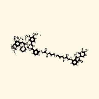 CC[C@H](C(=O)N1CCCC[C@H]1C(=O)O[C@H](CCc1ccc(OC)c(OC)c1)c1cccc(OCC(=O)NCCCOCCCNC(=O)COc2cccc3c2C(=O)N(C2CCC(=O)NC2=O)C3=O)c1)c1cc(OC)c(OC)c(OC)c1